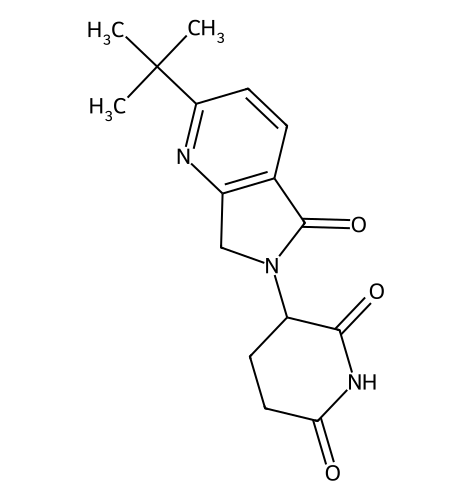 CC(C)(C)c1ccc2c(n1)CN(C1CCC(=O)NC1=O)C2=O